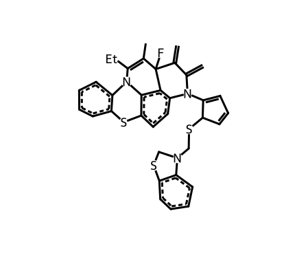 C=C1C(=C)C2(F)C(C)=C(CC)N3c4ccccc4Sc4ccc(c2c43)N1C1=CC=CC1SCN1CSc2ccccc21